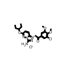 CCC(CC)Oc1ccc2n(n1)c(N)n[n+]2CC(=O)c1cc(Cl)c(OC)c(OC)c1.[Cl-]